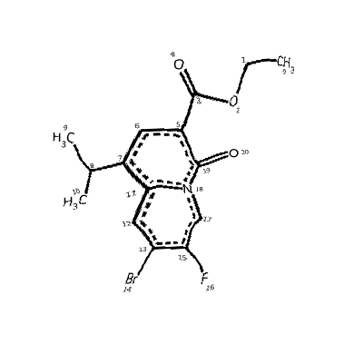 CCOC(=O)c1cc(C(C)C)c2cc(Br)c(F)cn2c1=O